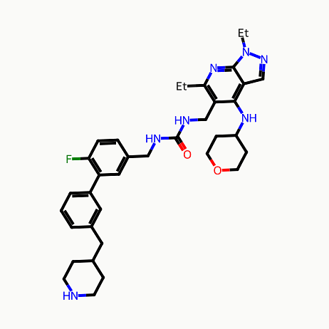 CCc1nc2c(cnn2CC)c(NC2CCOCC2)c1CNC(=O)NCc1ccc(F)c(-c2cccc(CC3CCNCC3)c2)c1